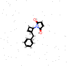 O=C1C=CC(=O)N1C1CC=C1Cc1ccccc1